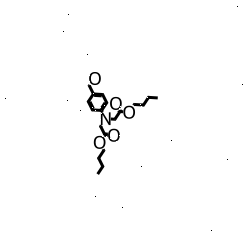 CCCCOC(=O)CN(CC(=O)OCCCC)c1ccc(C=O)cc1